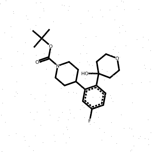 CC(C)(C)OC(=O)N1CCC(c2cc(F)ccc2C2(O)CCOCC2)CC1